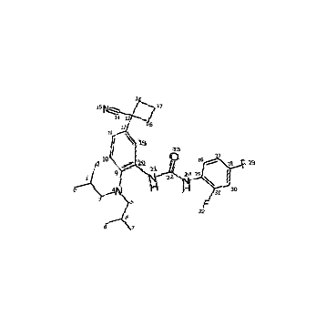 CC(C)CN(CC(C)C)c1ccc(C2(C#N)CCC2)cc1NC(=O)Nc1ccc(F)cc1F